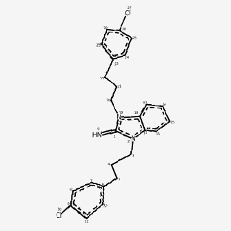 N=c1n(CCCc2ccc(Cl)cc2)c2ccccc2n1CCCc1ccc(Cl)cc1